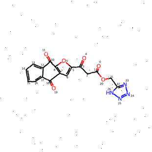 O=C(CC(=O)c1cc2c(o1)C(=O)c1ccccc1C2=O)OCc1nnn[nH]1